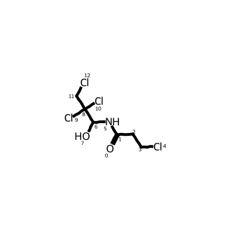 O=C(CCCl)NC(O)C(Cl)(Cl)CCl